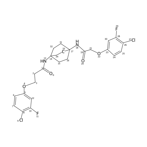 O=C(CCOc1ccc(Cl)c(F)c1)NC12CCC(NC(=O)COc3ccc(Cl)c(F)c3)(CC1)CC2